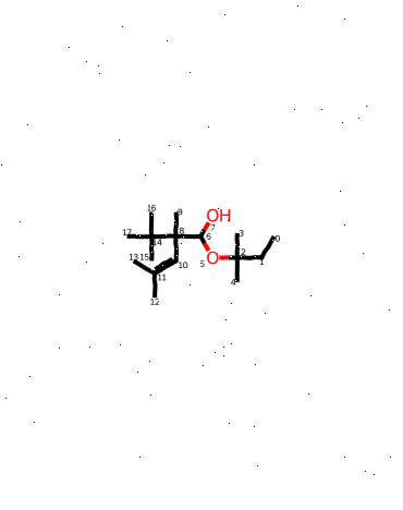 CCC(C)(C)OC(O)C(C)(C=C(C)C)C(C)(C)C